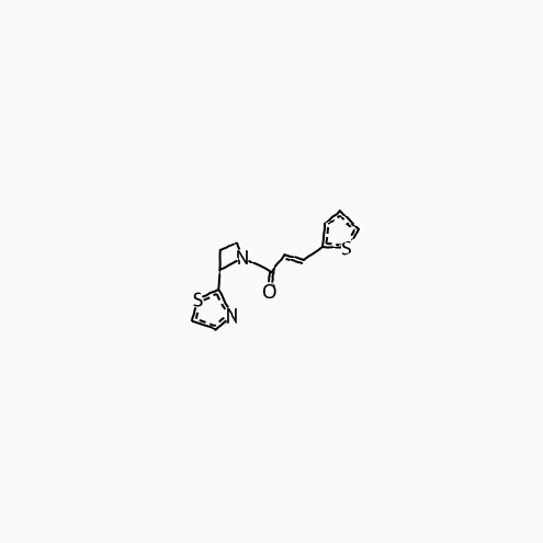 O=C(/C=C/c1cccs1)N1CCC1c1nccs1